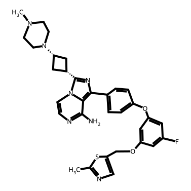 Cc1ncc(COc2cc(F)cc(Oc3ccc(-c4nc([C@H]5C[C@@H](N6CCN(C)CC6)C5)n5ccnc(N)c45)cc3)c2)s1